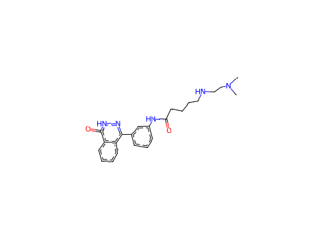 CN(C)CCNCCCCC(=O)Nc1cccc(-c2n[nH]c(=O)c3ccccc23)c1